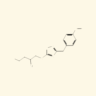 CCCC(N)CNc1nc(Cc2ccc(OC)cc2)ns1